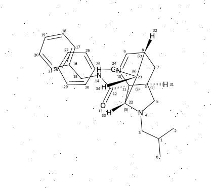 CC(C)CN1C[C@@H]2C[C@H]3C=N[C@]2(C(=O)NCc2ccccc2)[C@@H]1[C@@H]3Cc1ccccc1